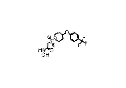 O=C(CS(=O)(=O)N1CCC(Oc2ccc(C(F)(F)F)cc2)CC1)NO